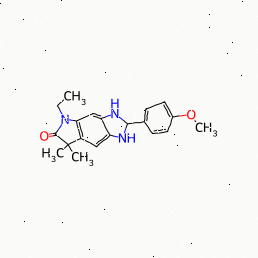 CCN1C(=O)C(C)(C)c2cc3c(cc21)NC(c1ccc(OC)cc1)N3